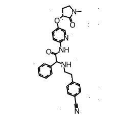 CN1CCC(Oc2ccc(NC(=O)C(NCCc3ccc(C#N)cc3)c3ccccc3)nc2)C1=O